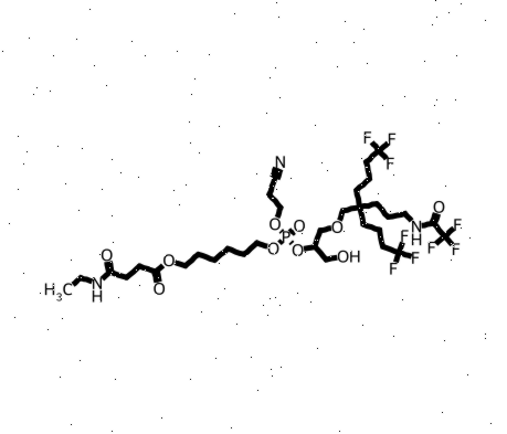 CCNC(=O)CCC(=O)OCCCCCCOP(=O)(OCCC#N)OC(CO)COCC(CCCNC(=O)C(F)(F)F)(CCCC(F)(F)F)CCCC(F)(F)F